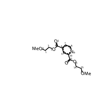 COCCOC(=O)c1ccnc(C(=O)OCCOC)c1